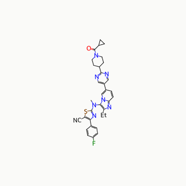 CCc1nc2ccc(-c3cnc(C4CCN(C(=O)C5CC5)CC4)nc3)cn2c1N(C)c1nc(-c2ccc(F)cc2)c(C#N)s1